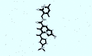 Cc1cc(C)c(CNC(=O)c2cc3cc(Br)cn3c(C(C)C3CCC(N(C)C)C3)c2C)c(=O)[nH]1